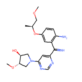 COC[C@H](C)Oc1ccc(N)c(C(=N)c2cc(N3C[C@H](OC)[C@@H](O)C3)ncn2)c1